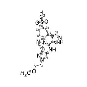 COCCn1cc(Nc2nc3ccc(S(C)(=O)=O)cc3c3cn[nH]c23)c(C#N)n1